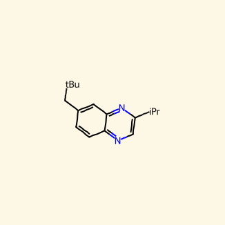 CC(C)c1cnc2ccc(CC(C)(C)C)cc2n1